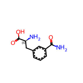 NC(=O)c1cccc(C[C@H](N)C(=O)O)c1